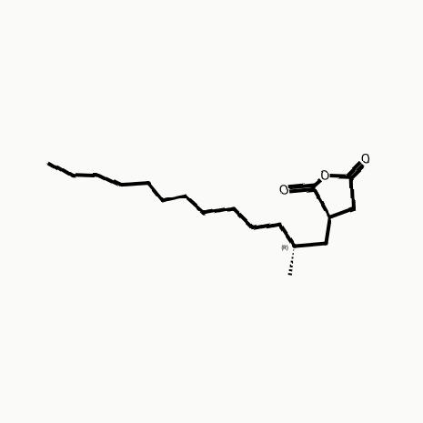 CCCCCCCCCCC[C@@H](C)CC1CC(=O)OC1=O